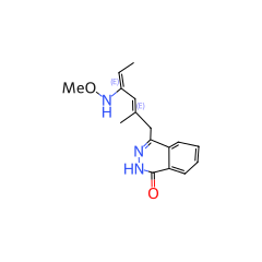 C/C=C(\C=C(/C)Cc1n[nH]c(=O)c2ccccc12)NOC